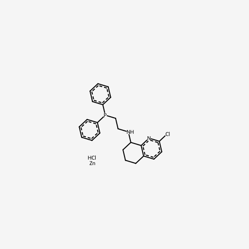 Cl.Clc1ccc2c(n1)C(NCCP(c1ccccc1)c1ccccc1)CCC2.[Zn]